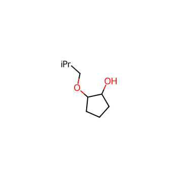 CC(C)COC1CCCC1O